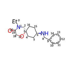 CCN1C[C@]2(CC[C@H](NCc3ccccc3)CC2)OCC1=O